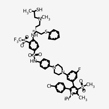 Cc1c(S(C)(=O)=O)c(-c2cc(F)cc(N3CCN(c4ccc(NS(=O)(=O)c5ccc(N[C@H](CCN(C)CC(C)S)CSc6ccccc6)c(S(=O)(=O)C(F)(F)F)c5)cc4)CC3)c2)c(-c2ccc(Cl)cc2)n1C(C)C